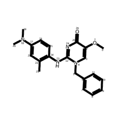 COc1cn(Cc2ccccc2)c(Nc2ccc(N(C)C)cc2C)nc1=O